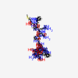 CSCC[C@H](N)C(=O)N[C@@H](CO)C(=O)N[C@@H](Cc1c[nH]c2ccccc12)C(=O)N[C@H](C(=O)N[C@@H](CCCNC(=N)N)C(=O)N[C@@H](CCC(N)=O)C(=O)N[C@@H](C)C(=O)N1CCC[C@H]1C(=O)NCC(=O)N[C@@H](CCCCN)C(=O)NCC(=O)N[C@@H](CC(C)C)C(=O)N[C@@H](CCC(=O)O)C(=O)N[C@@H](Cc1c[nH]c2ccccc12)C(=O)N[C@H](C(=O)N[C@@H](CO)C(=O)N[C@@H](CCCNC(=N)N)C(=O)NCC(=O)O)C(C)C)C(C)C